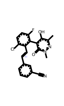 Cc1nn(C)c(=O)c(-c2c(F)ccc(Cl)c2/C=C/c2cccc(C#N)c2)c1O